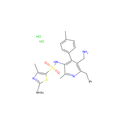 CC(=O)Nc1nc(C)c(S(=O)(=O)Nc2c(C)nc(CC(C)C)c(CN)c2-c2ccc(C)cc2)s1.Cl.Cl